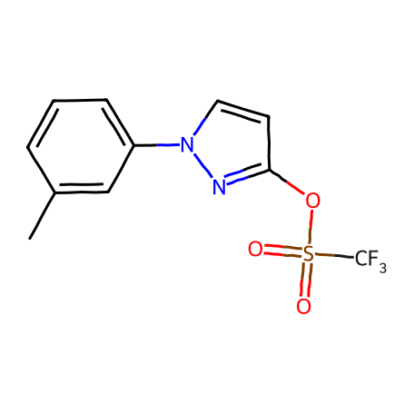 Cc1cccc(-n2ccc(OS(=O)(=O)C(F)(F)F)n2)c1